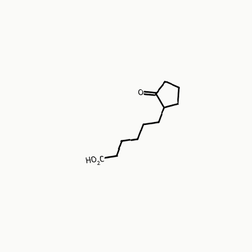 O=C(O)CCCCCC1CCCC1=O